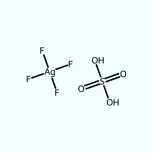 O=S(=O)(O)O.[F][Ag]([F])([F])[F]